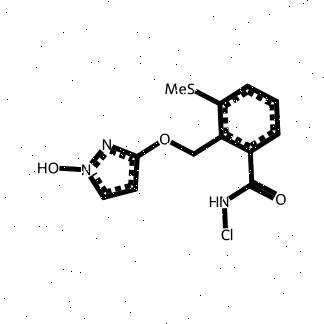 CSc1cccc(C(=O)NCl)c1COc1ccn(O)n1